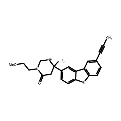 CC#Cc1ccc2sc3ccc(C4(C)CC(=O)N(CCOC)CN4)cc3c2c1